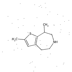 Cc1cc2c(s1)C(C)CNCC2